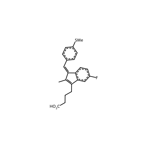 CSc1ccc(/C=C2/C(C)=C(CCCC(=O)O)c3cc(F)ccc32)cc1